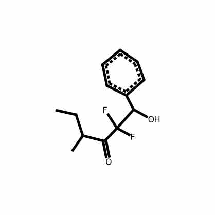 CCC(C)C(=O)C(F)(F)C(O)c1ccccc1